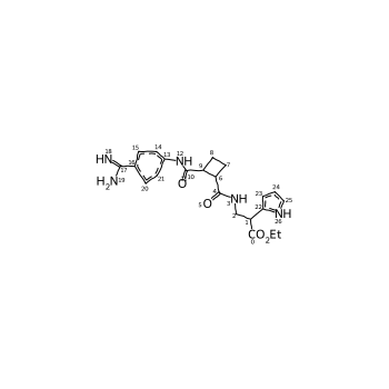 CCOC(=O)C(CNC(=O)C1CCC1C(=O)Nc1ccc(C(=N)N)cc1)c1ccc[nH]1